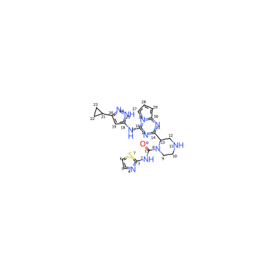 O=C(Nc1nccs1)N1CCNCC1c1nc(Nc2cc(C3CC3)n[nH]2)n2cccc2n1